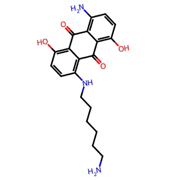 NCCCCCCNc1ccc(O)c2c1C(=O)c1c(O)ccc(N)c1C2=O